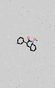 COn1c(=O)c(-c2ccccc2)cc2ccccc21